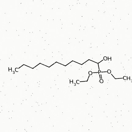 CCCCCCCCCCC(O)P(=O)(OCC)OCC